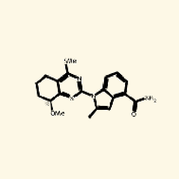 CO[C@H]1CCCc2c(SC)nc(-n3c(C)cc4c(C(N)=O)cccc43)nc21